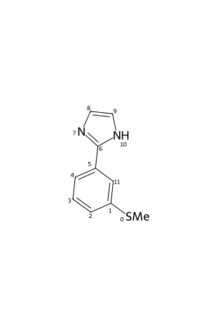 CSc1cccc(-c2ncc[nH]2)c1